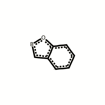 b1cc2[c]cccc2o1